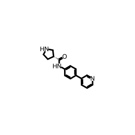 O=C(Nc1ccc(-c2cccnc2)cc1)[C@@H]1CCNC1